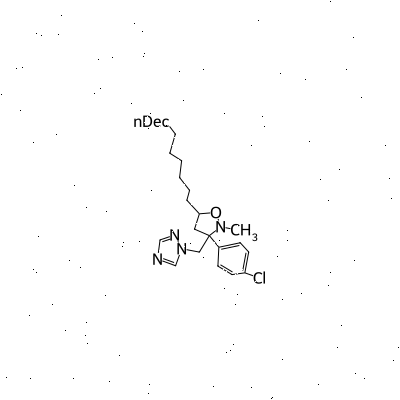 CCCCCCCCCCCCCCCCC1CC(Cn2cncn2)(c2ccc(Cl)cc2)N(C)O1